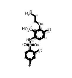 CCc1cc(F)ccc1S(=O)(=O)Nc1ccc(CC)c(OCCN)c1C(=O)O